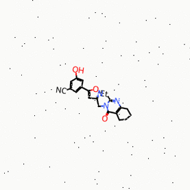 CCc1nc2c(c(=O)n1Cc1cc(-c3cc(O)cc(C#N)c3)on1)CCCC2